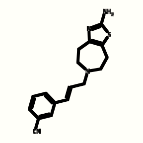 N#Cc1cccc(/C=C/CN2CCc3nc(N)sc3CC2)c1